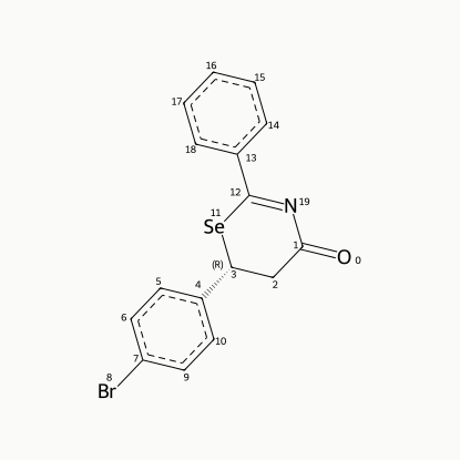 O=C1C[C@H](c2ccc(Br)cc2)[Se]C(c2ccccc2)=N1